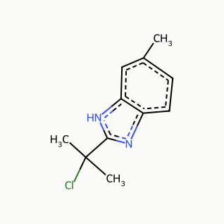 Cc1ccc2nc(C(C)(C)Cl)[nH]c2c1